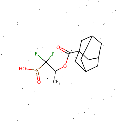 O=C(OC(C(F)(F)F)C(F)(F)S(=O)O)C12CC3CC(CC(C3)C1)C2